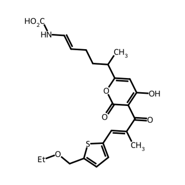 CCOCc1ccc(C=C(C)C(=O)c2c(O)cc(C(C)CC/C=C/NC(=O)O)oc2=O)s1